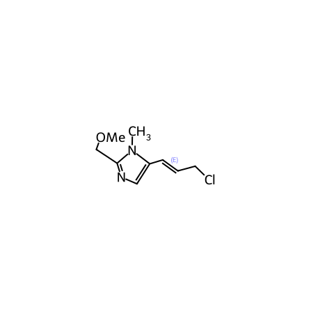 COCc1ncc(/C=C/CCl)n1C